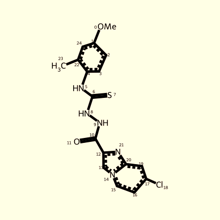 COc1ccc(NC(=S)NNC(=O)c2cn3ccc(Cl)cc3n2)c(C)c1